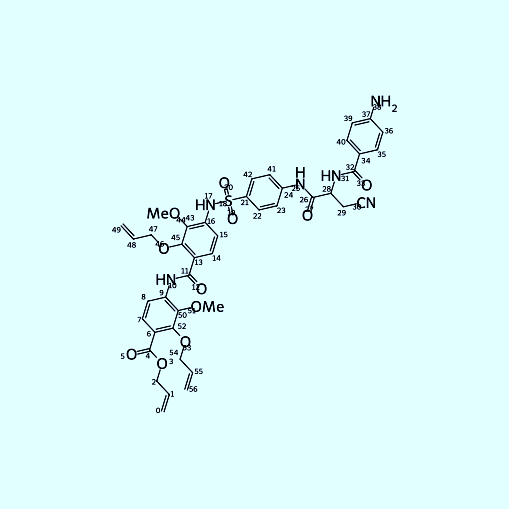 C=CCOC(=O)c1ccc(NC(=O)c2ccc(NS(=O)(=O)c3ccc(NC(=O)C(CC#N)NC(=O)c4ccc(N)cc4)cc3)c(OC)c2OCC=C)c(OC)c1OCC=C